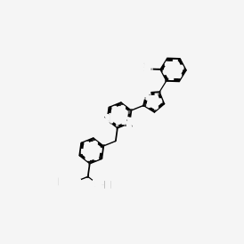 CCOc1ccccc1-c1ccc(-c2ccnc(Cc3cccc(C(C)O)c3)n2)s1